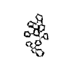 c1ccc(-c2cc(N(c3ccccc3)c3ccc(-c4c(-c5ccccc5)ccc5ccccc45)cc3)ccc2-c2ccccc2-n2c3ccccc3c3ccccc32)cc1